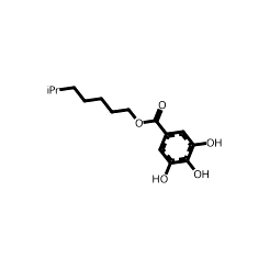 CC(C)CCCCCOC(=O)c1cc(O)c(O)c(O)c1